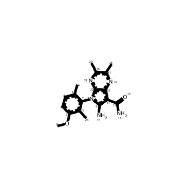 COc1ccc(C)c(-n2c(N)c(C(N)=O)c3nc(C)c(C)nc32)c1C